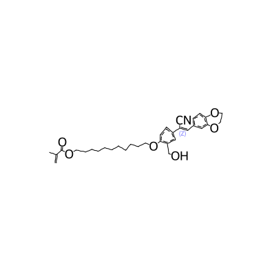 C=C(C)C(=O)OCCCCCCCCCCCOc1ccc(/C(C#N)=C/c2ccc3c(c2)OCCO3)cc1CO